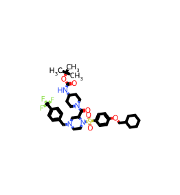 CC(C)(C)OC(=O)NC1CCN(C(=O)C2CN(Cc3ccc(C(F)(F)F)cc3)CCN2S(=O)(=O)c2ccc(OCC3CCCCC3)cc2)CC1